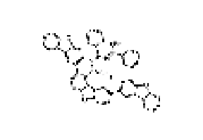 C=C(/N=C(\N=C(/CCC)c1ccccc1)c1ccccc1)c1c(-c2ccc3oc4ccccc4c3c2)ccc2oc3ccc(-c4ccc5oc6ccccc6c5c4)cc3c12